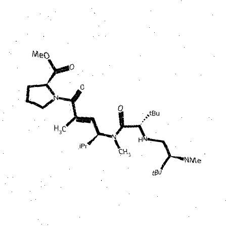 CN[C@H](CN[C@H](C(=O)N(C)[C@H](/C=C(\C)C(=O)N1CCC[C@H]1C(=O)OC)C(C)C)C(C)(C)C)C(C)(C)C